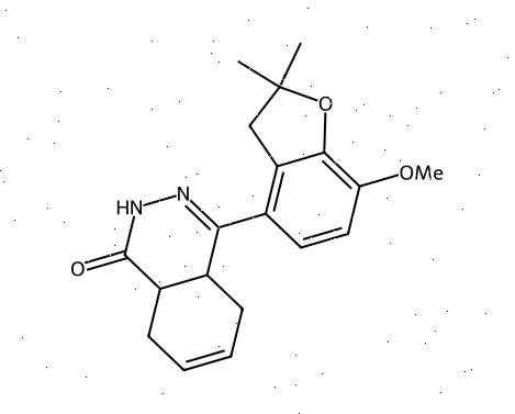 COc1ccc(C2=NNC(=O)C3CC=CCC23)c2c1OC(C)(C)C2